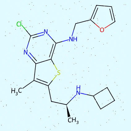 Cc1c(C[C@H](C)NC2CCC2)sc2c(NCc3ccco3)nc(Cl)nc12